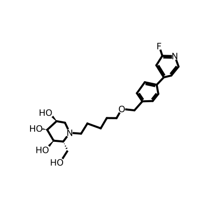 OC[C@@H]1[C@@H](O)[C@H](O)[C@@H](O)CN1CCCCCOCc1ccc(-c2ccnc(F)c2)cc1